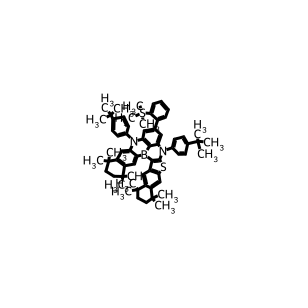 CC(C)(C)c1ccc(N2c3cc4c(cc3B3c5c2cc(-c2ccccc2S(C)(C)C)cc5N(c2ccc(C(C)(C)C)cc2)c2sc5cc6c(cc5c23)C(C)(C)CCC6(C)C)C(C)(C)CCC4(C)C)cc1